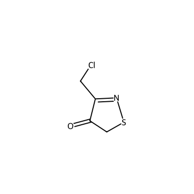 O=C1CSN=C1CCl